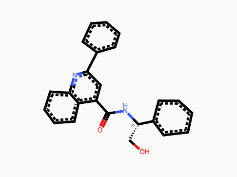 O=C(N[C@@H](CO)c1ccccc1)c1cc(-c2ccccc2)nc2ccccc12